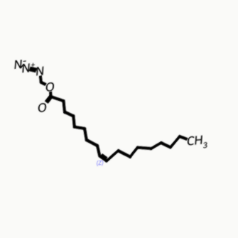 CCCCCCCC/C=C\CCCCCCCC(=O)OCN=[N+]=[N-]